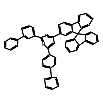 c1ccc(-c2ccc(-c3cc(-c4ccc5c(c4)C4(c6ccccc6-c6ccccc64)c4ccccc4-5)nc(-c4cccc(-c5ccccc5)c4)n3)cc2)cc1